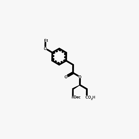 CCCCCCCCCCC[C@H](CC(=O)O)OC(=O)Cc1ccc(OCC)cc1